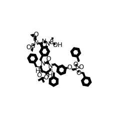 CB(O)n1nc(N(B2CO2)B2CO2)c2cc(CN3C(=O)N(Cc4cccc(OCP(=O)(OCc5ccccc5)OCc5ccccc5)c4)[C@H](Cc4ccccc4)[C@@H]4OC(C)(C)O[C@H]4[C@H]3Cc3ccccc3)ccc21